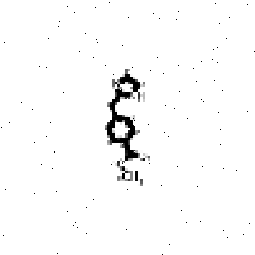 COC(=O)c1ccc(Cc2ncc[nH]2)cc1